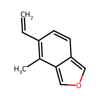 C=Cc1ccc2cocc2c1C